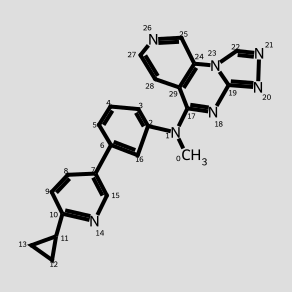 CN(c1cccc(-c2ccc(C3CC3)nc2)c1)c1nc2nncn2c2cnccc12